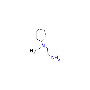 CN(CCN)C1CCCCC1